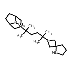 CN1C2CCC1CN(C(C)(C)CCC(C)(C)N1CC3(CCCN3)C1)C2